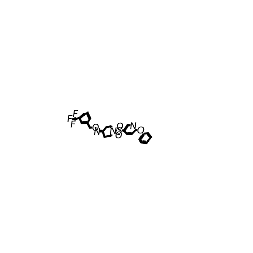 O=S(=O)(c1ccc(Oc2ccccc2)nc1)N1CCC(=NOCc2cccc(C(F)(F)F)c2)CC1